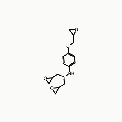 c1cc(OCC2CO2)ccc1NN(CC1CO1)CC1CO1